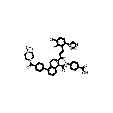 CN1CCN(C(=O)c2ccc(-c3cccc4c3CCN(C(=O)C=Cc3c(-n5cnnn5)ccc(Cl)c3F)C4C(=O)Nc3ccc(C(=O)O)cc3)cc2)CC1